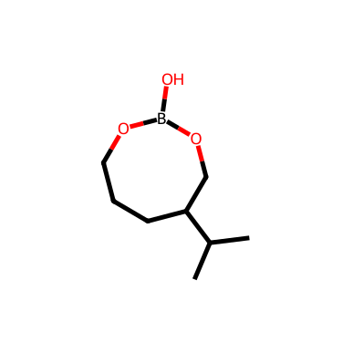 CC(C)C1CCCOB(O)OC1